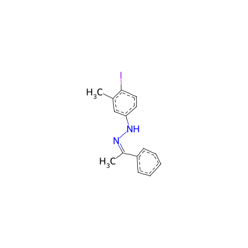 CC(=NNc1ccc(I)c(C)c1)c1ccccc1